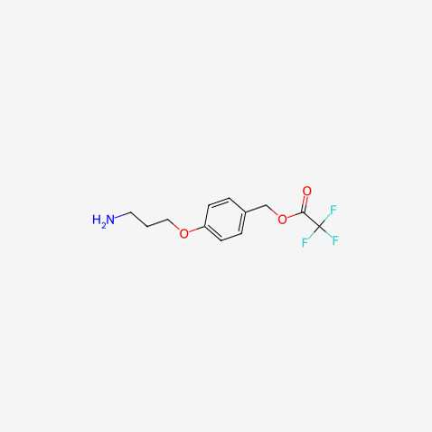 NCCCOc1ccc(COC(=O)C(F)(F)F)cc1